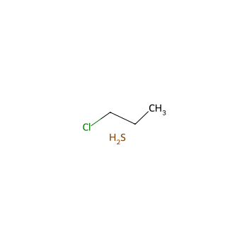 CCCCl.S